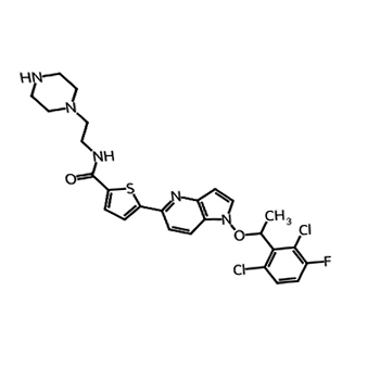 CC(On1ccc2nc(-c3ccc(C(=O)NCCN4CCNCC4)s3)ccc21)c1c(Cl)ccc(F)c1Cl